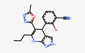 CCCC1=C(c2nnc(C)o2)C(c2cccc(C#N)c2Br)c2c[nH]nc2N1